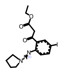 CCOC(=O)CC(=O)c1cc(I)ccc1/N=N/N1CCCC1